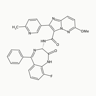 COc1ccc2nc(-c3ccc(C)nc3)c(C(=O)N[C@H]3N=C(c4ccccc4)c4cccc(F)c4NC3=O)n2n1